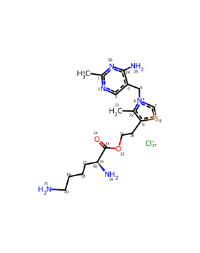 Cc1ncc(C[n+]2csc(CCOC(=O)[C@@H](N)CCCCN)c2C)c(N)n1.[Cl-]